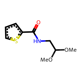 COC(CNC(=O)c1cccs1)OC